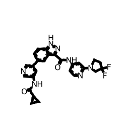 O=C(Nc1ccnc(N2CCC(F)(F)C2)c1)c1n[nH]c2ccc(-c3cncc(NC(=O)C4CC4)c3)cc12